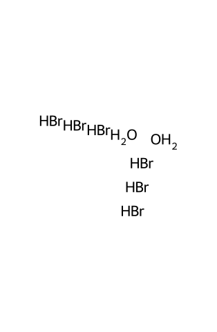 Br.Br.Br.Br.Br.Br.O.O